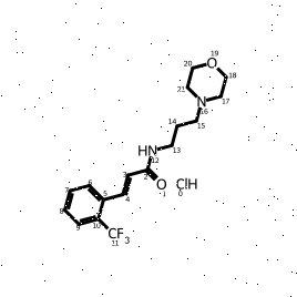 Cl.O=C(/C=C/c1ccccc1C(F)(F)F)NCCCN1CCOCC1